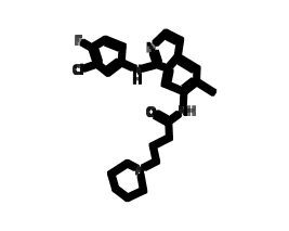 Cc1cc2ccnc(Nc3ccc(F)c(Cl)c3)c2cc1NC(=O)CCCN1CCCCC1